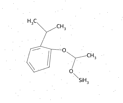 CC(O[SiH3])Oc1ccccc1C(C)C